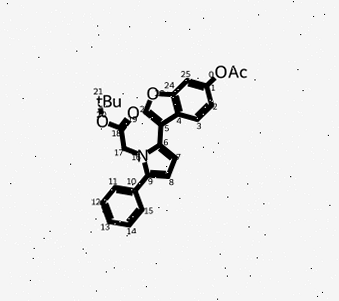 CC(=O)Oc1ccc2c(-c3ccc(-c4ccccc4)n3CC(=O)OC(C)(C)C)coc2c1